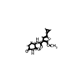 COc1sc(C2CC2)cc1C(=O)NC1CCC(=O)NC1=O